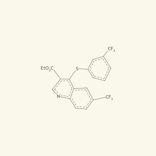 CCOC(=O)c1cnc2ccc(C(F)(F)F)cc2c1Sc1cccc(C(F)(F)F)c1